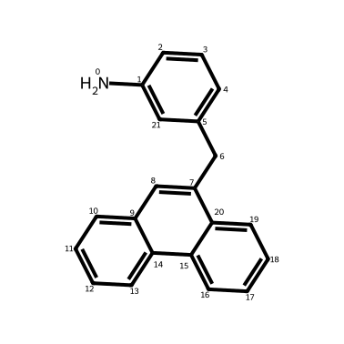 Nc1cccc(Cc2cc3ccccc3c3ccccc23)c1